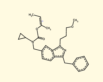 C/C=C(/C)OC(=O)N(Cc1ccc2c(Cc3ccccc3)nn(CCCOC)c2c1)C1CC1